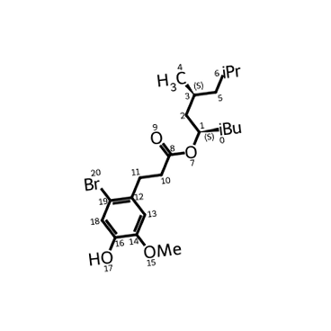 CCC(C)[C@H](C[C@@H](C)CC(C)C)OC(=O)CCc1cc(OC)c(O)cc1Br